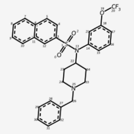 O=S(=O)(c1ccc2ccccc2c1)N(c1cccc(OC(F)(F)F)c1)C1CCN(Cc2ccccc2)CC1